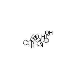 Cc1ccccc1C(CC(=O)O)NC(=O)c1ccnc(-c2cccc(C(C)(C)O)c2)c1